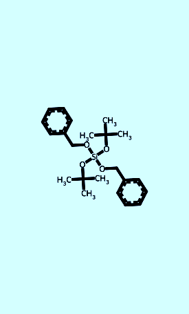 CC(C)(C)O[Si](OCc1ccccc1)(OCc1ccccc1)OC(C)(C)C